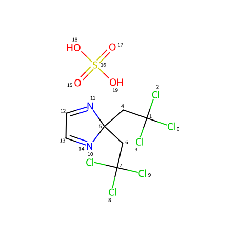 ClC(Cl)(Cl)CC1(CC(Cl)(Cl)Cl)N=CC=N1.O=S(=O)(O)O